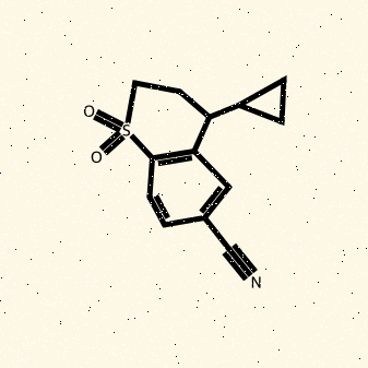 N#Cc1ccc2c(c1)C(C1CC1)CCS2(=O)=O